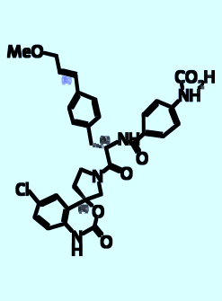 COC/C=C/c1ccc(C[C@H](NC(=O)c2ccc(NC(=O)O)cc2)C(=O)N2CC[C@@]3(C2)OC(=O)Nc2ccc(Cl)cc23)cc1